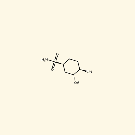 NS(=O)(=O)[C@H]1CC[C@@H](O)[C@H](O)C1